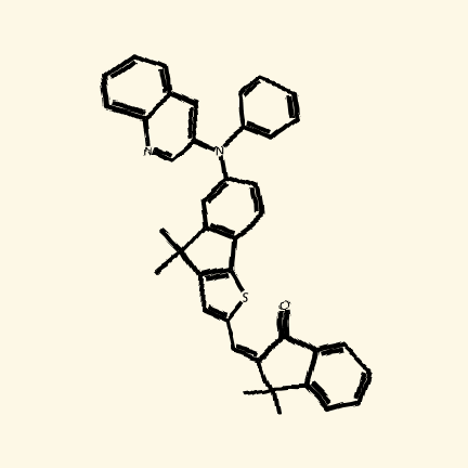 CC1(C)/C(=C/c2cc3c(s2)-c2ccc(N(c4ccccc4)c4cnc5ccccc5c4)cc2C3(C)C)C(=O)c2ccccc21